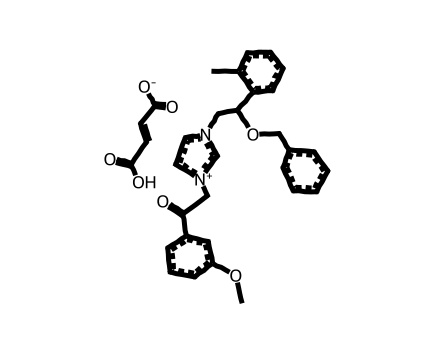 COc1cccc(C(=O)C[n+]2ccn(CC(OCc3ccccc3)c3ccccc3C)c2)c1.O=C([O-])C=CC(=O)O